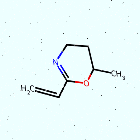 C=CC1=NCCC(C)O1